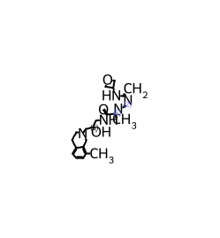 C=C(/N=C\N=C(/C)C(=O)NC[C@H](O)CN1CCc2cccc(C)c2C1)NC1COC1